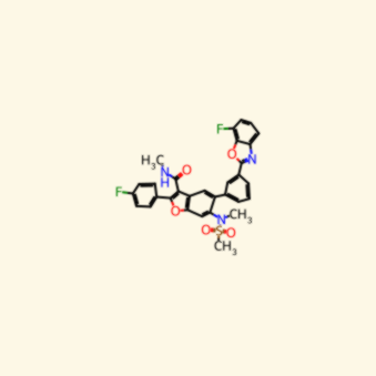 CNC(=O)c1c(-c2ccc(F)cc2)oc2cc(N(C)S(C)(=O)=O)c(-c3cccc(-c4nc5cccc(F)c5o4)c3)cc12